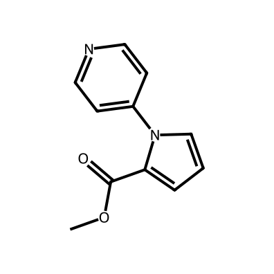 COC(=O)c1cccn1-c1ccncc1